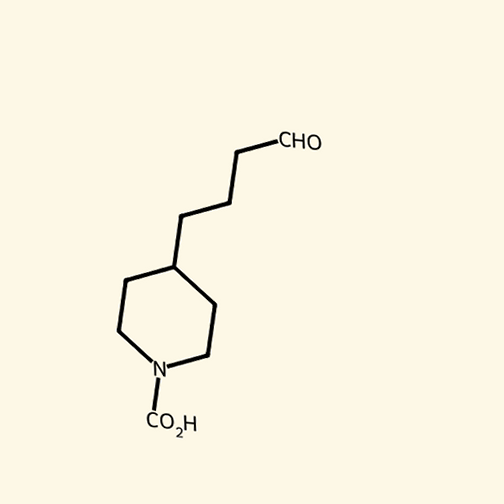 O=CCCCC1CCN(C(=O)O)CC1